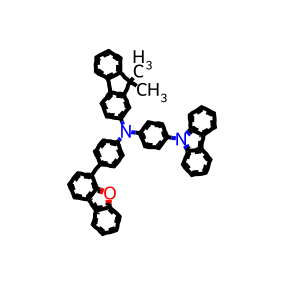 CC1(C)c2ccccc2-c2ccc(N(c3ccc(-c4cccc5c4oc4ccccc45)cc3)c3ccc(-n4c5ccccc5c5ccccc54)cc3)cc21